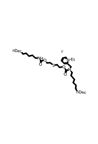 CCCCCCCCCCCCCCCCN(Cc1cccc[n+]1CC)C(=O)OCCSCCOC(=O)NCCCCCCCCCCCCCCC.[I-]